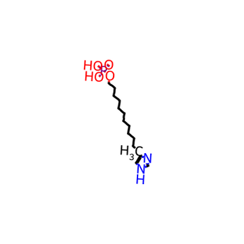 CCCCCCCCCCCCOP(=O)(O)O.c1c[nH]cn1